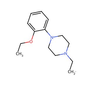 [CH2]CN1CCN(c2ccccc2OCC)CC1